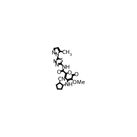 COc1c(N[C@H]2CCC[C@H]2C#N)cc(C(=O)Nc2nnc(-n3nccc3C)s2)oc1=O